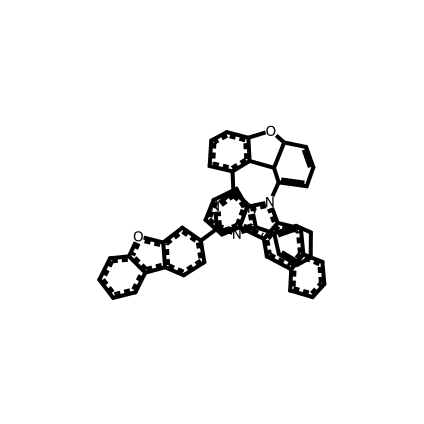 C1=CC2Oc3cccc(-c4nc(C5=CCCC=C5)nc(-c5ccc6c(c5)oc5ccccc56)n4)c3C2C(n2c3ccccc3c3cc4ccccc4cc32)=C1